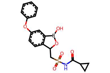 O=C(NS(=O)(=O)CC1OB(O)c2cc(Oc3ccccc3)ccc21)C1CC1